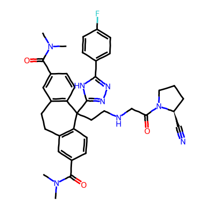 CN(C)C(=O)c1ccc2c(c1)CCc1cc(C(=O)N(C)C)ccc1C2(CCNCC(=O)N1CCC[C@H]1C#N)c1nnc(-c2ccc(F)cc2)[nH]1